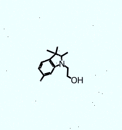 Cc1ccc2c(c1)N(CCO)C(C)C2(C)C